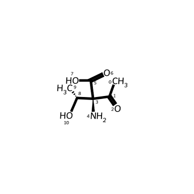 CC(=O)[C@@](N)(C(=O)O)[C@@H](C)O